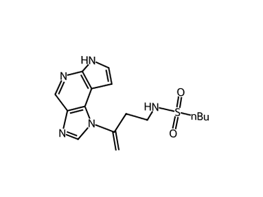 C=C(CCNS(=O)(=O)CCCC)n1cnc2cnc3[nH]ccc3c21